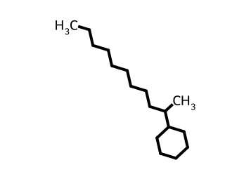 CCCCCCCCCC(C)C1CCCCC1